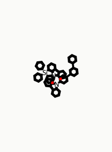 c1ccc(-c2cccc(-c3ccc(-n4c5ccccc5c5cccc(-n6c7ccccc7c7cccc([Si](c8ccccc8)(c8ccccc8)c8ccccc8)c76)c54)cc3)c2)cc1